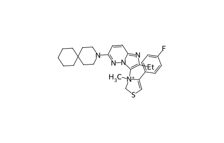 CCc1nc2ccc(N3CCC4(CCCCC4)CC3)nn2c1[N+]1(C)CSC=C1c1ccc(F)cc1